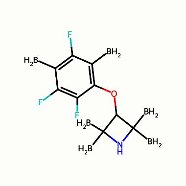 Bc1c(F)c(B)c(OC2C(B)(B)NC2(B)B)c(F)c1F